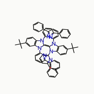 CC(C)(C)c1ccc2c(c1)N(c1cccc(-c3ccccc3)n1)/C(=C1\N(c3cccc(-c4ccccc4)n3)c3ccc(C(C)(C)C)cc3N1c1cccc(-c3ccccc3)n1)N2c1cccc(-c2ccccc2)n1